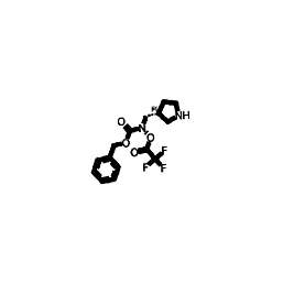 O=C(OCc1ccccc1)N(C[C@@H]1CCNC1)OC(=O)C(F)(F)F